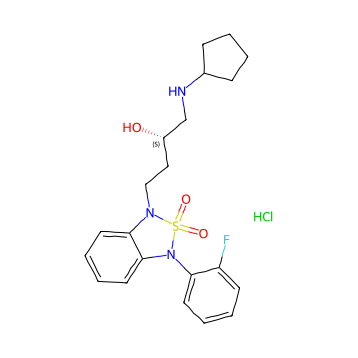 Cl.O=S1(=O)N(CC[C@H](O)CNC2CCCC2)c2ccccc2N1c1ccccc1F